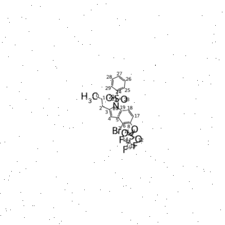 CCCc1cc2c(Br)c(OS(=O)(=O)C(F)(F)F)ccc2n1S(=O)(=O)c1ccccc1